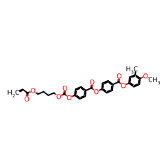 C=CC(=O)OCCCCOC(=O)Oc1ccc(C(=O)Oc2ccc(C(=O)Oc3ccc(OC)c(C)c3)cc2)cc1